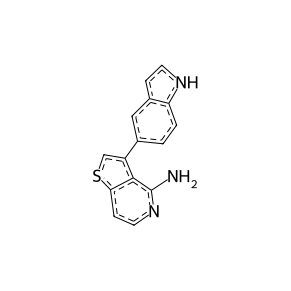 Nc1nccc2scc(-c3ccc4[nH]ccc4c3)c12